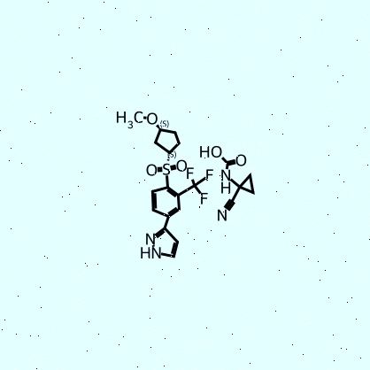 CO[C@H]1CC[C@H](S(=O)(=O)c2ccc(-c3cc[nH]n3)cc2C(F)(F)F)C1.N#CC1(NC(=O)O)CC1